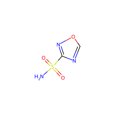 NS(=O)(=O)c1ncon1